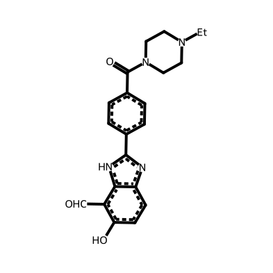 CCN1CCN(C(=O)c2ccc(-c3nc4ccc(O)c(C=O)c4[nH]3)cc2)CC1